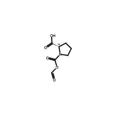 O=COC(=O)N1CCC[C@H]1C(=O)O